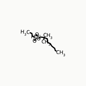 CCCCCCCC(C)(C)[SiH2]OS(=O)(=O)CCC